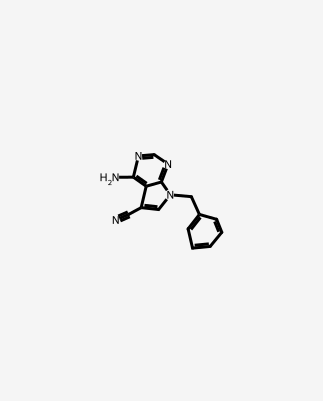 N#Cc1cn(Cc2ccccc2)c2ncnc(N)c12